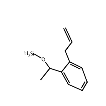 C=CCc1ccccc1C(C)O[SiH3]